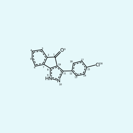 O=C1c2ccccc2-c2[nH]nc(-c3ccc(Cl)cc3)c21